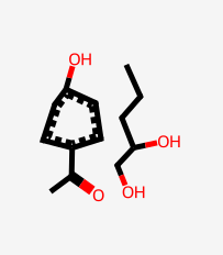 CC(=O)c1ccc(O)cc1.CCCC(O)CO